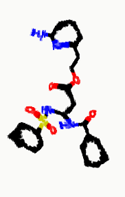 Nc1cccc(CCOC(=O)C[C@@H](NC(=O)c2ccccc2)NS(=O)(=O)c2ccccc2)n1